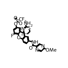 COc1cnc(C(=O)Nc2ccc3c(c2)[C@@]2(CCSC(N)=N2)c2cc(OS(=O)(=O)C(F)(F)F)cc(F)c2O3)cn1